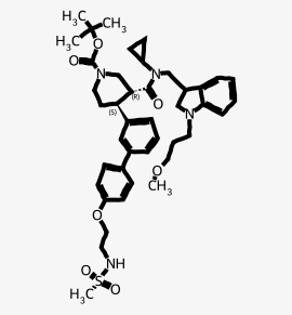 COCCCN1CC(CN(C(=O)[C@H]2CN(C(=O)OC(C)(C)C)CC[C@@H]2c2cccc(-c3ccc(OCCNS(C)(=O)=O)cc3)c2)C2CC2)c2ccccc21